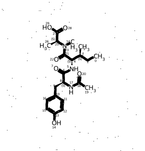 CC[C@H](C)[C@H](NC(=O)[C@H](Cc1ccc(O)cc1)NC(C)=O)C(=O)N(C)[C@@H](C)C(=O)O